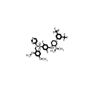 COc1ccc(CN(c2ccncn2)S(=O)(=O)c2cc(F)c(N[C@H]3CC[C@H](c4cc(C(F)(F)F)cc(C(F)(F)F)c4)C[C@@H]3N(C)C)cc2F)c(OC)c1